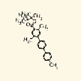 Cc1ccc(-c2ccc(-c3cc(C)c(B4OC(C)(C)C(C)(C)O4)cc3C)cc2)cc1